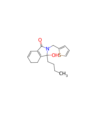 CCCCC1(O)C2=C(C=CCC2)C(=O)N1Cc1cccs1